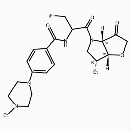 CC[C@@H]1CN(C(=O)C(CC(C)C)NC(=O)c2ccc(N3CCN(CC)CC3)cc2)[C@@H]2C(=O)CO[C@H]12